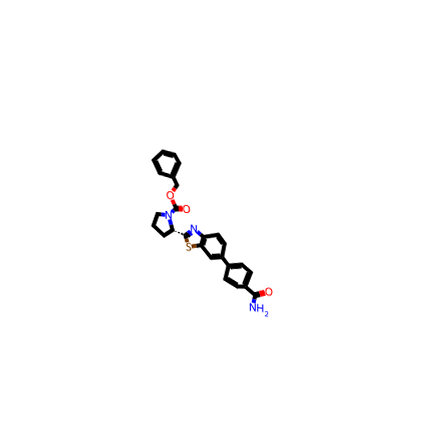 NC(=O)c1ccc(-c2ccc3nc([C@@H]4CCCN4C(=O)OCc4ccccc4)sc3c2)cc1